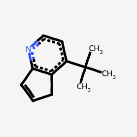 CC(C)(C)c1ccnc2c1CC=C2